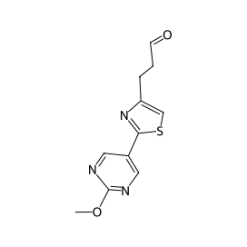 COc1ncc(-c2nc(CCC=O)cs2)cn1